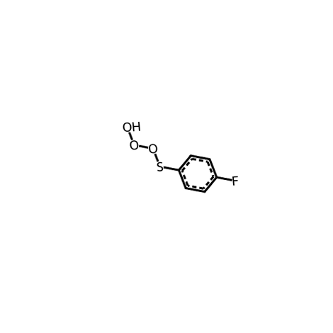 OOOSc1ccc(F)cc1